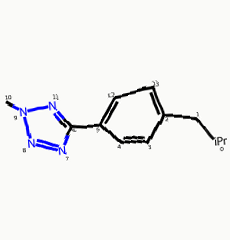 CC(C)Cc1ccc(-c2nnn(C)n2)cc1